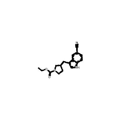 CCOC(=O)N1CCC(Cc2c[nH]c3ccc(C#N)cc23)C1